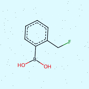 OB(O)c1ccccc1CF